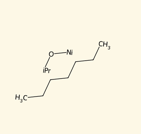 CC(C)[O][Ni].CCCCCCC